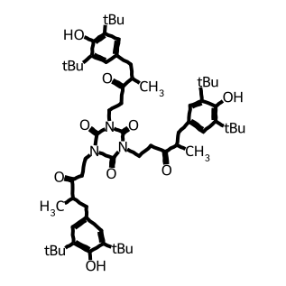 CC(Cc1cc(C(C)(C)C)c(O)c(C(C)(C)C)c1)C(=O)CCn1c(=O)n(CCC(=O)C(C)Cc2cc(C(C)(C)C)c(O)c(C(C)(C)C)c2)c(=O)n(CCC(=O)C(C)Cc2cc(C(C)(C)C)c(O)c(C(C)(C)C)c2)c1=O